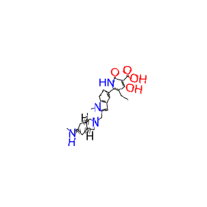 CCc1c(-c2ccc3c(c2)cc(CN2C[C@H]4C[C@@H](NC)C[C@H]4C2)n3C)[nH]c(=O)c(C(=O)O)c1O